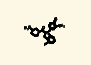 CC1CCCN(C(=O)C2Cc3c(F)cccc3N2c2ccc(=O)n(C)n2)C1